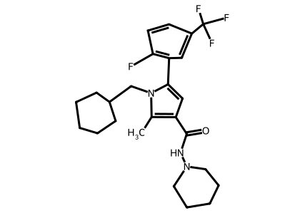 Cc1c(C(=O)NN2CCCCC2)cc(-c2cc(C(F)(F)F)ccc2F)n1CC1CCCCC1